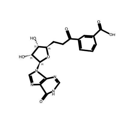 O=C(O)c1cccc(C(=O)CC[C@H]2O[C@@H](n3cnc4c(=O)[nH]cnc43)[C@H](O)[C@@H]2O)c1